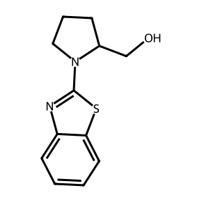 OCC1CCCN1c1nc2ccccc2s1